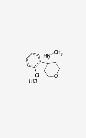 CNC1(c2ccccc2Cl)CCOCC1.Cl